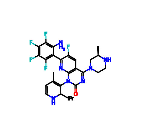 CC1=C(n2c(=O)nc(N3CCN[C@H](C)C3)c3cc(F)c(-c4c(N)c(F)c(F)c(F)c4F)nc32)C(C(C)C)NC=C1